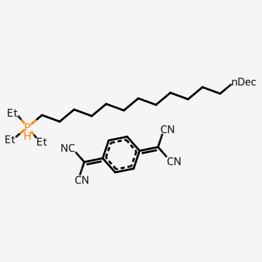 CCCCCCCCCCCCCCCCCCCCCC[PH](CC)(CC)CC.N#CC(C#N)=c1ccc(=C(C#N)C#N)cc1